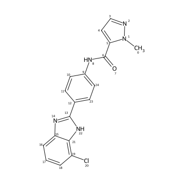 Cn1nccc1C(=O)Nc1ccc(-c2nc3cccc(Cl)c3[nH]2)cc1